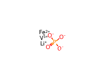 O=P([O-])([O-])[O-].[Fe+2].[Li+].[V+5]